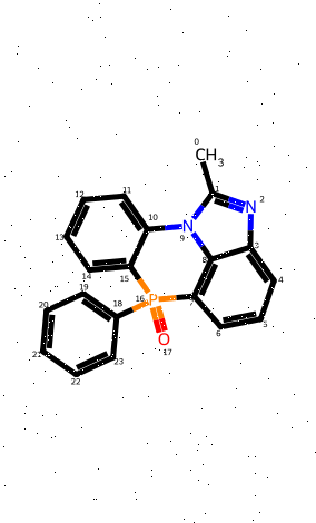 Cc1nc2cccc3c2n1-c1ccccc1P3(=O)c1ccccc1